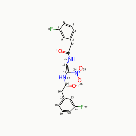 O=C(Cc1cccc(F)c1)NC=C(NC(=O)Cc1cccc(F)c1)[N+](=O)[O-]